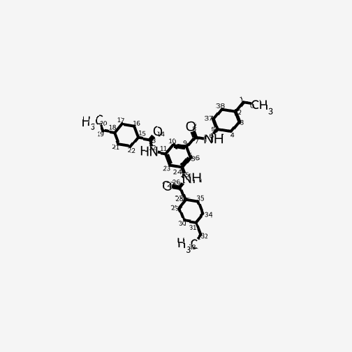 CCC1CCC(NC(=O)c2cc(NC(=O)C3CCC(CC)CC3)cc(NC(=O)C3CCC(CC)CC3)c2)CC1